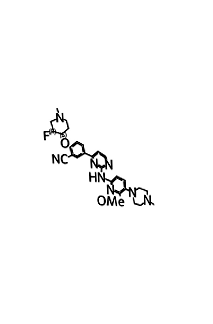 COc1nc(Nc2nccc(-c3ccc(O[C@H]4CCN(C)C[C@H]4F)c(C#N)c3)n2)ccc1N1CCN(C)CC1